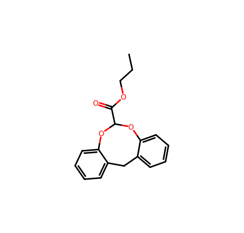 CCCOC(=O)C1Oc2ccccc2Cc2ccccc2O1